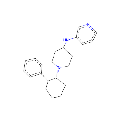 c1ccc([C@H]2CCCC[C@H]2N2CCC(Nc3cccnc3)CC2)cc1